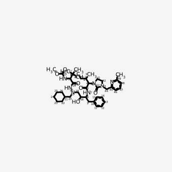 CCC(C)C(C(=O)NC(Cc1ccccc1)C(O)CN(CC1CCCCC1)NC(=O)C(NC(=O)OC)C(C)(C)C)N1CCN(Cc2cccc(C)n2)C1=O